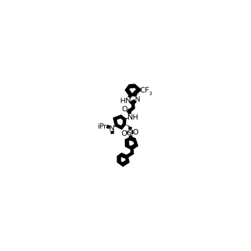 CC(C)N(C)[C@@H]1CC[C@H](NC(=O)Cc2nc3c(C(F)(F)F)cccc3[nH]2)[C@H](CS(=O)(=O)c2ccc(Cc3ccccc3)cc2)C1